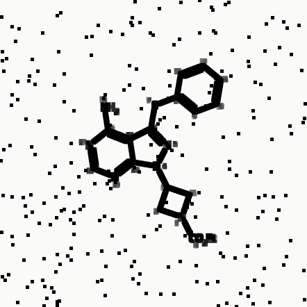 CCOC(=O)N1CC(n2nc(Sc3ccccc3)c3c(N)ncnc32)C1